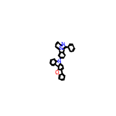 c1ccc(-c2nc3cccc4c5cc(-n6c7ccccc7c7c8oc9ccccc9c8ccc76)ccc5c2n34)cc1